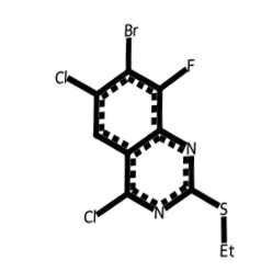 CCSc1nc(Cl)c2cc(Cl)c(Br)c(F)c2n1